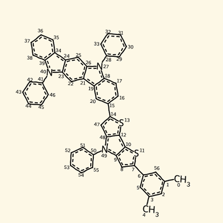 Cc1cc(C)cc(-c2cc3c(s2)c2sc(-c4ccc5c(c4)c4cc6c(cc4n5-c4ccccc4)c4ccccc4n6-c4ccccc4)cc2n3-c2ccccc2)c1